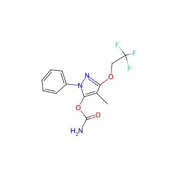 Cc1c(OCC(F)(F)F)nn(-c2ccccc2)c1OC(N)=O